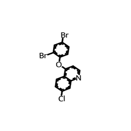 Clc1ccc2c(Oc3ccc(Br)cc3Br)ccnc2c1